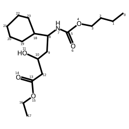 CCCCOC(=O)NC(CC(O)CC(=O)OCC)C1CCCCC1